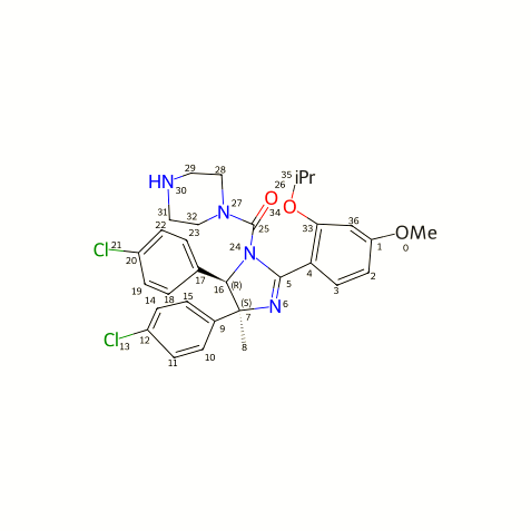 COc1ccc(C2=N[C@@](C)(c3ccc(Cl)cc3)[C@@H](c3ccc(Cl)cc3)N2C(=O)N2CCNCC2)c(OC(C)C)c1